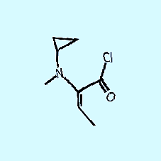 CC=C(C(=O)Cl)N(C)C1CC1